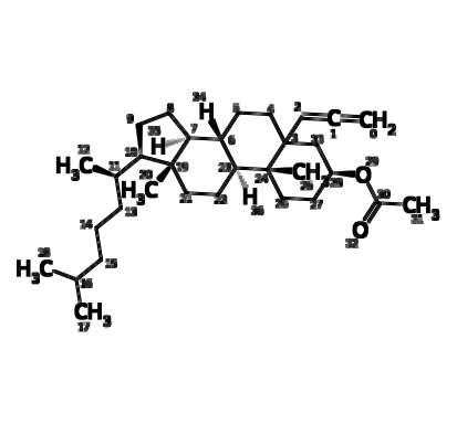 C=C=CC12CC[C@H]3[C@@H]4CC[C@H]([C@H](C)CCCC(C)C)[C@@]4(C)CC[C@@H]3[C@@]1(C)CC[C@H](OC(C)=O)C2